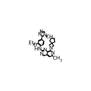 CCOc1cc(-c2nncn2C)ccc1Nc1ncc2cc(C)nc(N3CC4(CCCC4)C3)c2n1